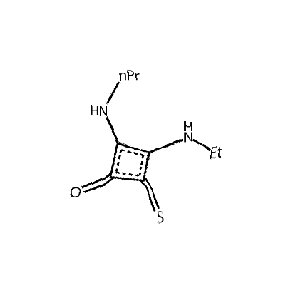 CCCNc1c(NCC)c(=S)c1=O